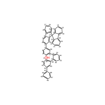 Oc1ccc(-c2ccc3c(c2)C2(c4ccccc4-c4ccccc42)c2ccccc2-3)cc1-c1ccccc1-c1cccc(-c2ccccc2)c1